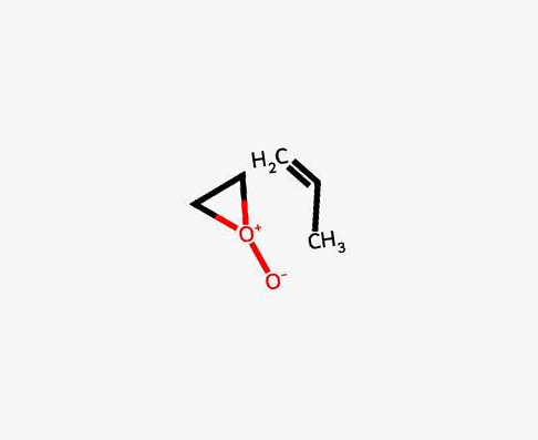 C=CC.[O-][O+]1CC1